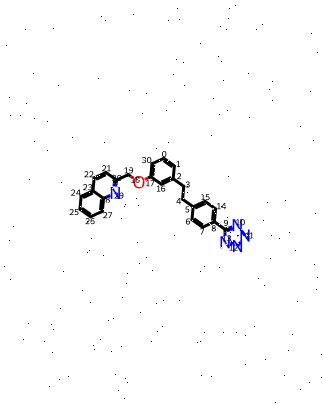 c1cc(CCc2ccc(C3=N[N]N=N3)cc2)cc(OCc2ccc3ccccc3n2)c1